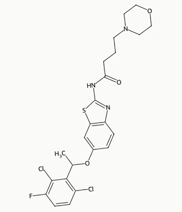 CC(Oc1ccc2nc(NC(=O)CCCN3CCOCC3)sc2c1)c1c(Cl)ccc(F)c1Cl